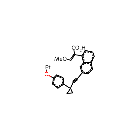 CCOc1ccc(C2(C#Cc3ccc4cccc(C(=COC)C(=O)O)c4c3)CC2)cc1